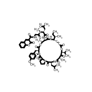 CC[C@H](C)[C@@H]1CCC(=O)O[C@@H](C(C)C)C(=O)[C@H](C)C(=O)N[C@@H](CC(C)C)C(=O)N2CCC[C@H]2C(=O)N(C)[C@@H](Cc2ccc(OC)cc2)C(=O)O[C@H](C)[C@H](NC(=O)[C@@H](CC(C)C)N(C)C(=O)CNC(=O)c2cc3ccccc3oc2=O)C(=O)N1